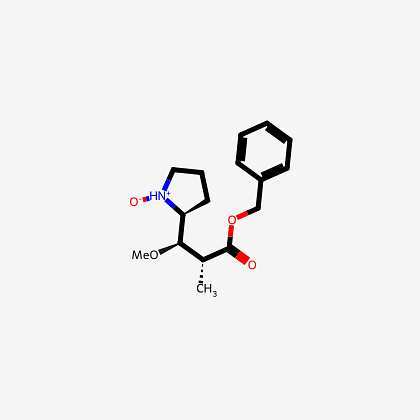 CO[C@H]([C@@H](C)C(=O)OCc1ccccc1)[C@@H]1CCC[NH+]1[O-]